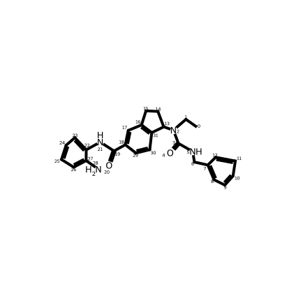 CCN(C(=O)NCc1ccccc1)C1CCc2cc(C(=O)Nc3ccccc3N)ccc21